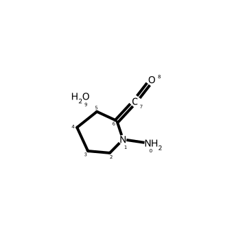 NN1CCCCC1=C=O.O